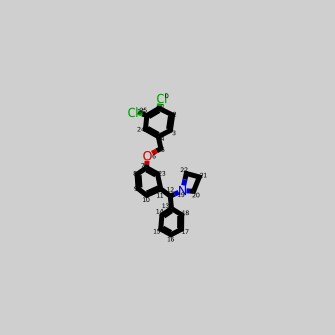 Clc1ccc(COc2cccc(C(c3ccccc3)N3CCC3)c2)cc1Cl